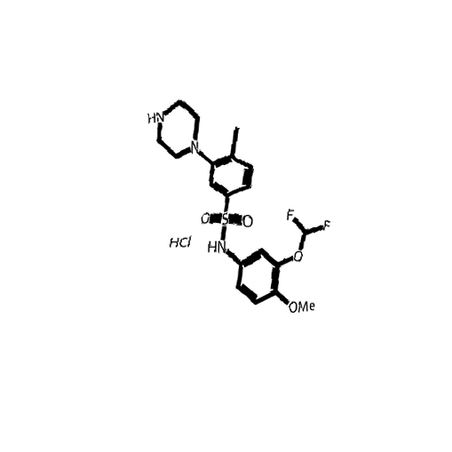 COc1ccc(NS(=O)(=O)c2ccc(C)c(N3CCNCC3)c2)cc1OC(F)F.Cl